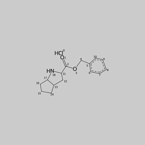 Cl.O=C(OCc1ccccc1)C1CC2CCCC2N1